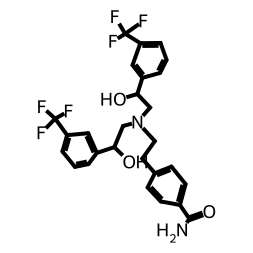 NC(=O)c1ccc(CCN(CC(O)c2cccc(C(F)(F)F)c2)CC(O)c2cccc(C(F)(F)F)c2)cc1